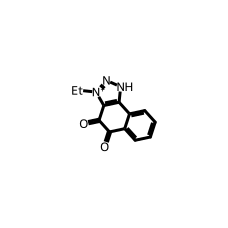 CC[n+]1n[nH]c2c1C(=O)C(=O)c1ccccc1-2